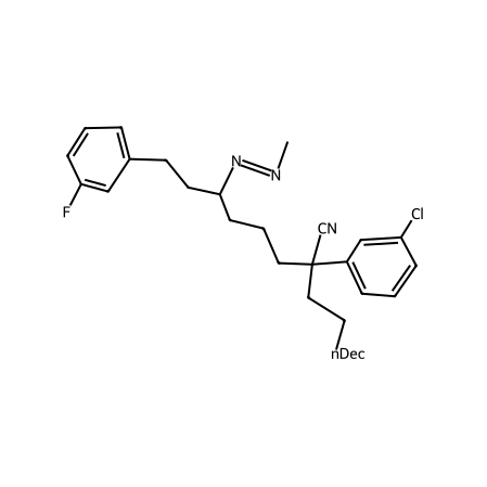 CCCCCCCCCCCCC(C#N)(CCCC(CCc1cccc(F)c1)N=NC)c1cccc(Cl)c1